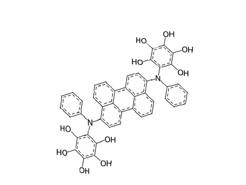 Oc1c(O)c(O)c(N(c2ccccc2)c2ccc3c4cccc5c(N(c6ccccc6)c6c(O)c(O)c(O)c(O)c6O)ccc(c6cccc2c63)c54)c(O)c1O